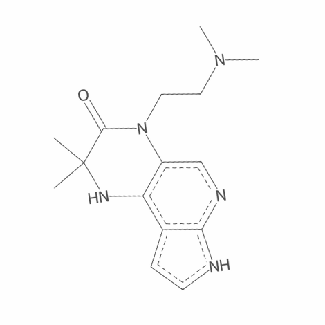 CN(C)CCN1C(=O)C(C)(C)Nc2c1cnc1[nH]ccc21